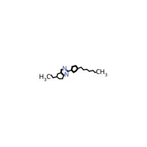 CCCCCCCc1ccc(-c2ncc3c(n2)CCC(CCC)C3)cc1